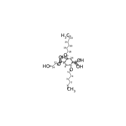 CCCCCCOc1cc(B(O)OCCO)c(OCCCCCC)cc1B(O)O